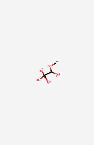 OC([O][Ti])C(O)(O)O